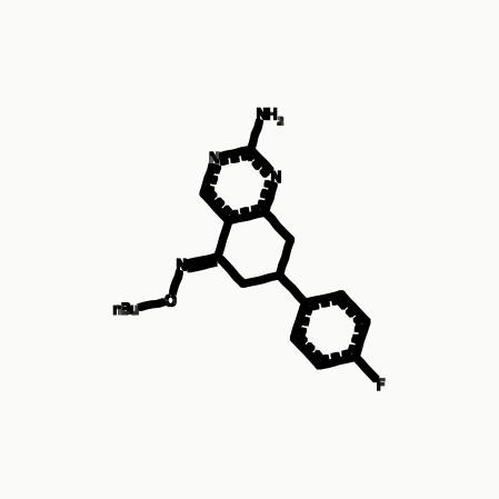 CCCCO/N=C1\CC(c2ccc(F)cc2)Cc2nc(N)ncc21